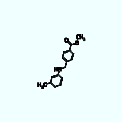 COC(=O)c1ccc(CNC2=CC(C)CC=C2)cc1